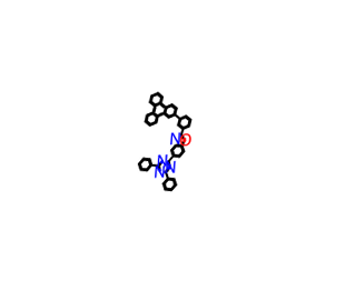 c1ccc(-c2nc(-c3ccccc3)nc(-c3ccc4oc(-c5cccc(-c6ccc7c8ccccc8c8ccccc8c7c6)c5)nc4c3)n2)cc1